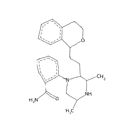 CC1CN(c2ccccc2C(N)=O)C(CCC2OCCc3ccccc32)C(C)N1